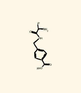 COC(=O)c1ccc(CNC(=O)C(N)C(C)C)cc1